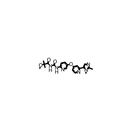 COC(C)(C)C(=O)NC(=O)Nc1ccc(Oc2ccnc(-c3cnc(C)n3C)c2)cn1